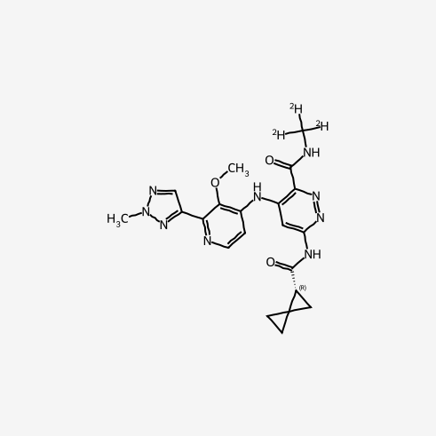 [2H]C([2H])([2H])NC(=O)c1nnc(NC(=O)[C@@H]2CC23CC3)cc1Nc1ccnc(-c2cnn(C)n2)c1OC